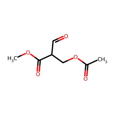 COC(=O)C(C=O)COC(C)=O